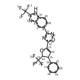 FC(F)(F)c1nc2cc(-c3noc(C4=CC(c5ccccc5)C(C(F)(F)F)O4)n3)ccc2[nH]1